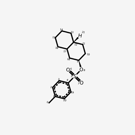 Cc1ccc(S(=O)(=O)O[C@@H]2CC[C@H]3CCCCC3C2)cc1